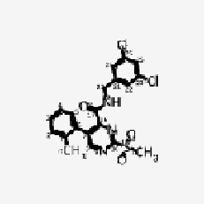 Cc1ccccc1-c1cnc(S(C)(=O)=O)nc1C(=O)NCc1cc(Cl)cc(Cl)c1